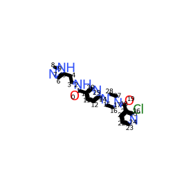 O=C(NCCc1cnc[nH]1)c1ccc(N2CCN(C(=O)c3cccnc3Cl)CC2)nc1